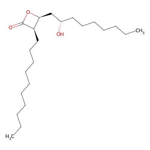 CCCCCCCCCC[C@H]1C(=O)O[C@H]1C[C@@H](O)CCCCCCC